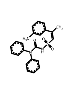 CC(=CS(=O)(=O)NC(=O)N(c1ccccc1)c1ccccc1)c1cccc(C)c1